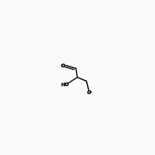 [O]CC(O)C=O